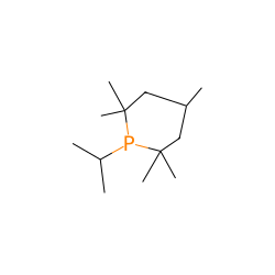 CC1CC(C)(C)P(C(C)C)C(C)(C)C1